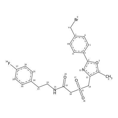 Cc1oc(-c2ccc(CBr)cc2)nc1CS(=O)(=O)CC(=O)NCCc1ccc(F)cc1